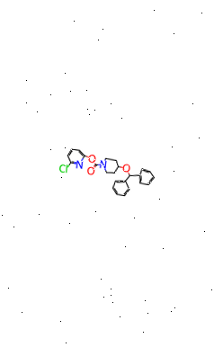 O=C(Oc1cccc(Cl)n1)N1CCC(OC(c2ccccc2)c2ccccc2)CC1